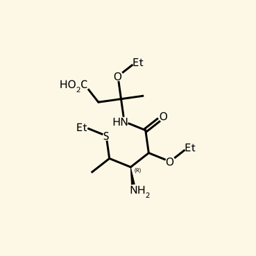 CCOC(C(=O)NC(C)(CC(=O)O)OCC)[C@@H](N)C(C)SCC